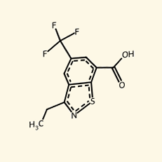 CCc1nsc2c(C(=O)O)cc(C(F)(F)F)cc12